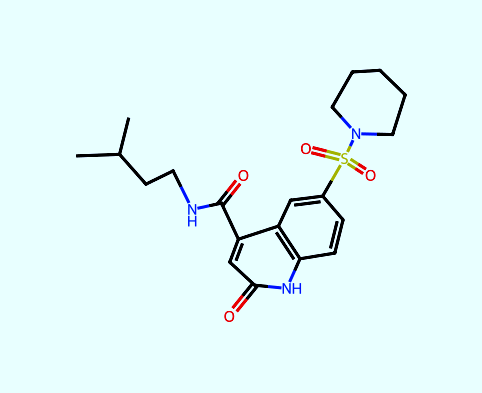 CC(C)CCNC(=O)c1cc(=O)[nH]c2ccc(S(=O)(=O)N3CCCCC3)cc12